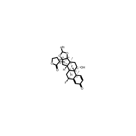 CCCC1O[C@@H]2C[C@H]3[C@@H]4C[C@H](F)C5=CC(=O)C=C[C@]5(C)[C@@]4(F)[C@@H](O)C[C@]3(C)[C@]2(S[C@@H]2CCOC2=O)O1